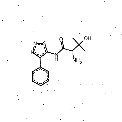 CC(C)(O)[C@H](N)C(=O)Nc1snnc1-c1ccccc1